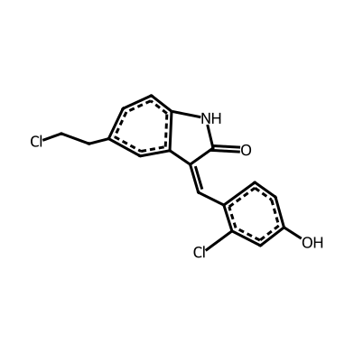 O=C1Nc2ccc(CCCl)cc2C1=Cc1ccc(O)cc1Cl